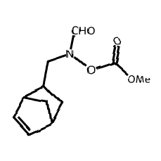 COC(=O)ON(C=O)CC1CC2C=CC1C2